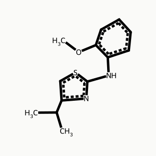 COc1ccccc1Nc1nc(C(C)C)cs1